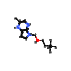 Cc1cnc2c(ccn2COCC[Si](C)(C)C)n1